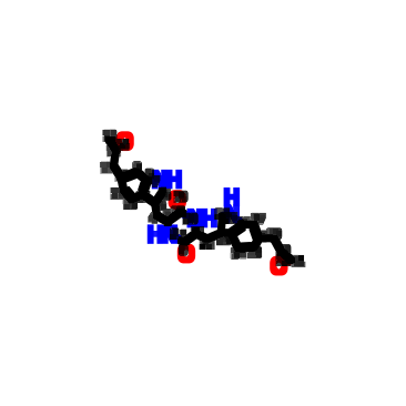 O=C1NC(CC2CNc3cc(CC4CO4)ccc32)C(=O)NC1CC1CNc2cc(CC3CO3)ccc21